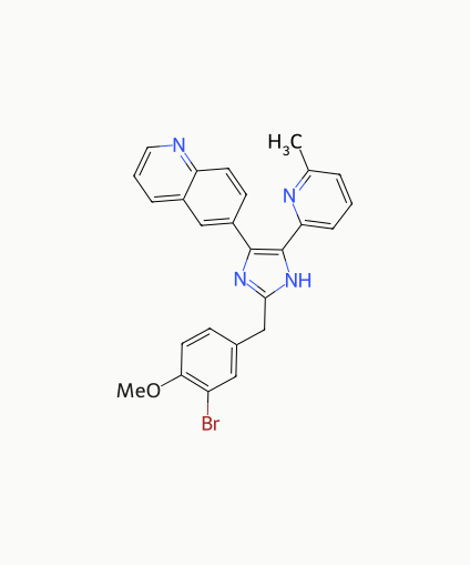 COc1ccc(Cc2nc(-c3ccc4ncccc4c3)c(-c3cccc(C)n3)[nH]2)cc1Br